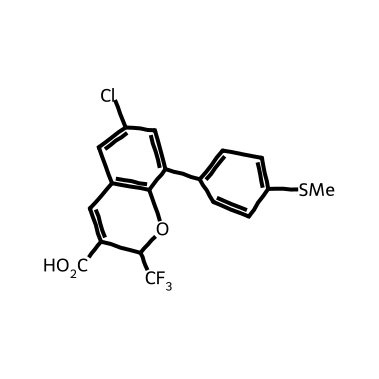 CSc1ccc(-c2cc(Cl)cc3c2OC(C(F)(F)F)C(C(=O)O)=C3)cc1